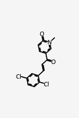 Cn1cc(C(=O)C=Cc2cc(Cl)ccc2Cl)ccc1=O